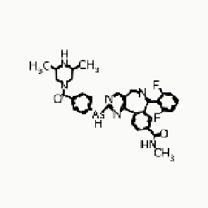 CNC(=O)c1ccc2c(c1)C(c1c(F)cccc1F)=NCc1cnc([AsH]c3ccc(C(=O)N4CC(C)NC(C)C4)cc3)nc1-2